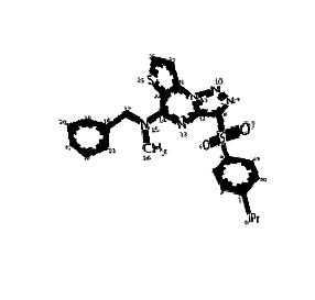 CC(C)c1ccc(S(=O)(=O)c2nnn3c2nc(N(C)Cc2ccccc2)c2sccc23)cc1